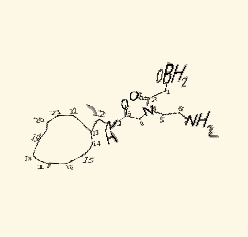 BCC(=O)N(CCN)CC(=O)NCC1CCCCCCCCC1